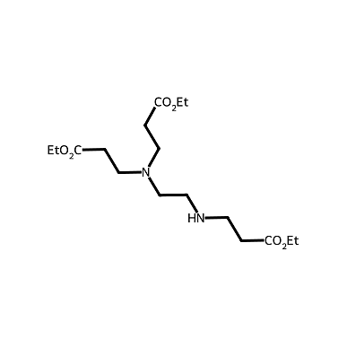 CCOC(=O)CCNCCN(CCC(=O)OCC)CCC(=O)OCC